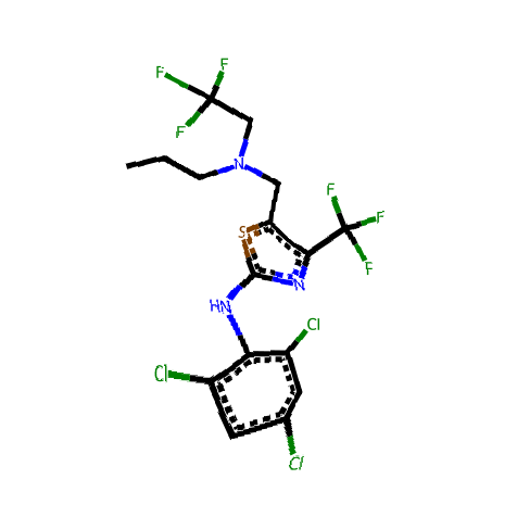 CCCN(Cc1sc(Nc2c(Cl)cc(Cl)cc2Cl)nc1C(F)(F)F)CC(F)(F)F